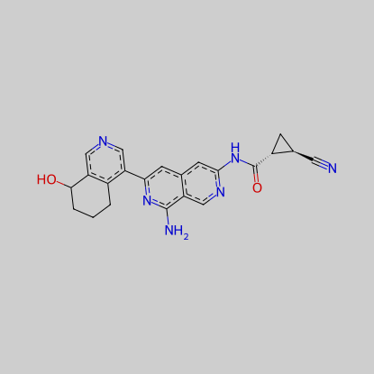 N#C[C@@H]1C[C@H]1C(=O)Nc1cc2cc(-c3cncc4c3CCCC4O)nc(N)c2cn1